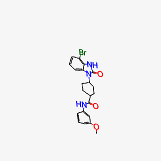 COc1cccc(NC(=O)C2CCC(n3c(=O)[nH]c4c(Br)cccc43)CC2)c1